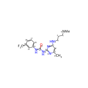 CNCCCNc1cc(C)nc(NC(=O)Nc2cccc(C(F)(F)F)c2)n1